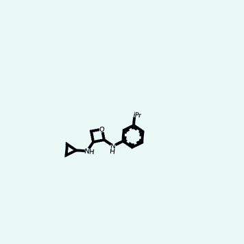 CC(C)c1cccc(NC2OCC2NC2CC2)c1